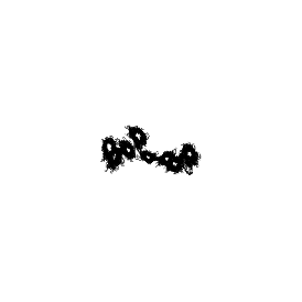 C1=CC(N(c2ccc(-c3ccc4c(ccc5oc6ccccc6c54)c3)cc2)c2ccc(-c3cccc4c3CCCC=C4)cc2)=CCC1